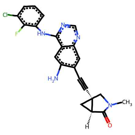 CN1C[C@]2(C#Cc3cc4ncnc(Nc5cccc(Cl)c5F)c4cc3N)C[C@@H]2C1=O